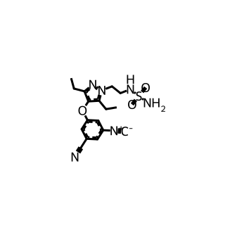 [C-]#[N+]c1cc(C#N)cc(Oc2c(CC)nn(CCNS(N)(=O)=O)c2CC)c1